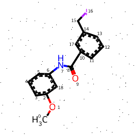 COc1cccc(NC(=O)c2cccc(CI)c2)c1